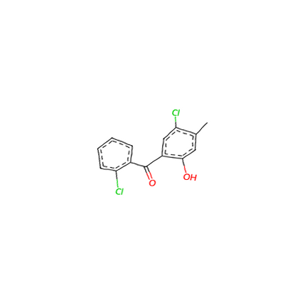 Cc1cc(O)c(C(=O)c2ccccc2Cl)cc1Cl